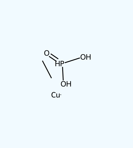 CC.O=[PH](O)O.[Cu]